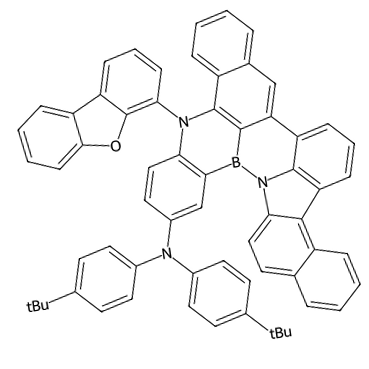 CC(C)(C)c1ccc(N(c2ccc(C(C)(C)C)cc2)c2ccc3c(c2)B2c4c(cc5ccccc5c4N3c3cccc4c3oc3ccccc34)-c3cccc4c5c6ccccc6ccc5n2c34)cc1